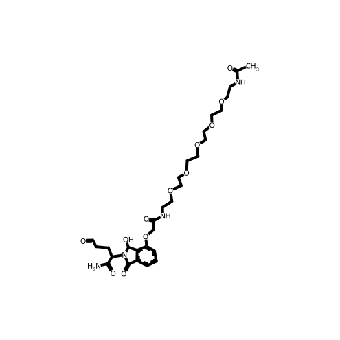 CC(=O)NCCOCCOCCOCCOCCOCCNC(=O)COc1cccc2c1C(O)N(C(CCC=O)C(N)=O)C2=O